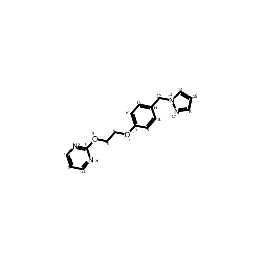 c1cnc(OCCOc2ccc(Cn3cccn3)cc2)nc1